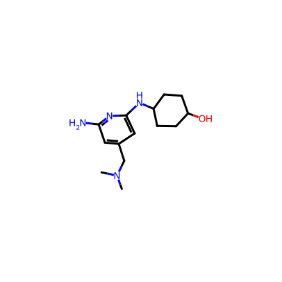 CN(C)Cc1cc(N)nc(NC2CCC(O)CC2)c1